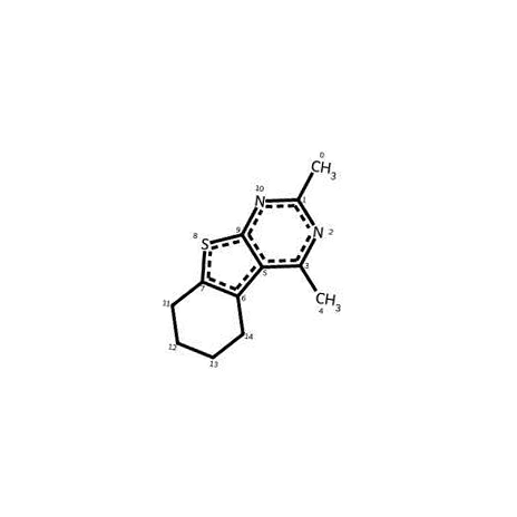 Cc1nc(C)c2c3c(sc2n1)CCCC3